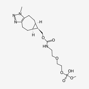 COP(=O)(O)OCCOCCNC(=O)OC[C@@H]1[C@@H]2CCc3c(nnn3C)CC[C@@H]21